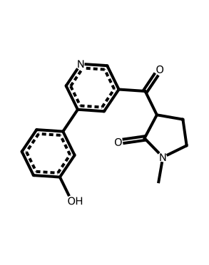 CN1CCC(C(=O)c2cncc(-c3cccc(O)c3)c2)C1=O